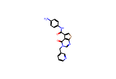 Nc1ccc(NC(=O)c2csc3ncn(Cc4cccnc4)c(=O)c23)cc1